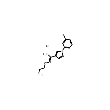 C/C(=N\OCCN)c1cnn(-c2cccc(Cl)c2)c1.Cl